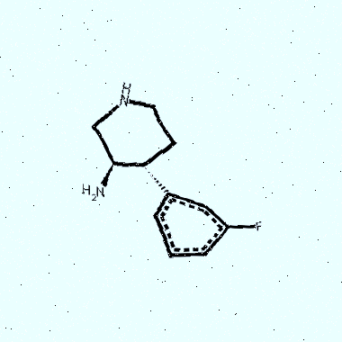 N[C@H]1CNCC[C@@H]1c1cccc(F)c1